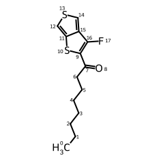 CCCCCCCC(=O)c1sc2cscc2c1F